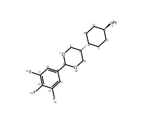 CCC[C@H]1CC[C@H](C2COC(c3cc(F)c(F)c(F)c3)OC2)CC1